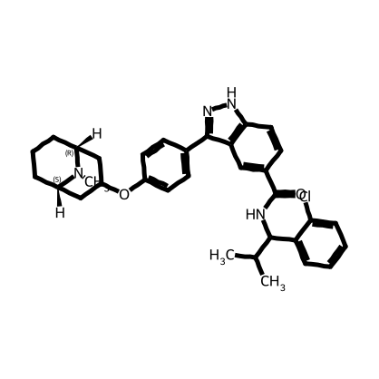 CC(C)C(NC(=O)c1ccc2[nH]nc(-c3ccc(OC4C[C@H]5CCC[C@@H](C4)N5C)cc3)c2c1)c1ccccc1Cl